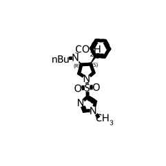 CCCCN(C(=O)O)[C@H]1CN(S(=O)(=O)c2cn(C)cn2)C[C@@H]1c1ccccc1